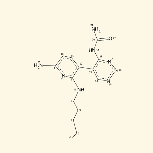 CCCCCNc1nc(N)ccc1-c1cnnnc1NC(N)=O